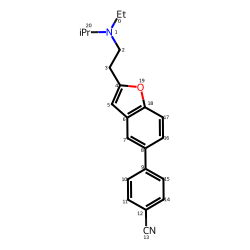 CCN(CCc1cc2cc(-c3ccc(C#N)cc3)ccc2o1)C(C)C